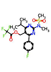 CC(C)c1nc(N(C)S(C)(=O)=O)nc(-c2ccc(F)cc2)c1COC(=O)C(F)(F)F